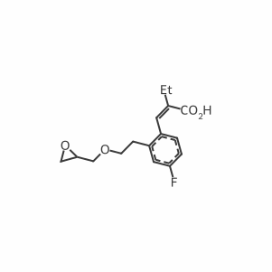 CCC(=Cc1ccc(F)cc1CCOCC1CO1)C(=O)O